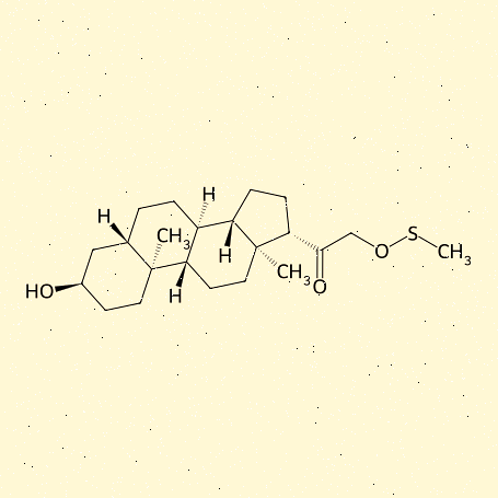 CSOCC(=O)[C@H]1CC[C@H]2[C@@H]3CC[C@H]4C[C@H](O)CC[C@]4(C)[C@H]3CC[C@]12C